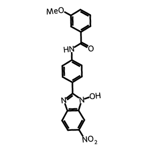 COc1cccc(C(=O)Nc2ccc(-c3nc4ccc([N+](=O)[O-])cc4n3O)cc2)c1